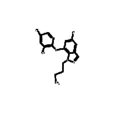 N#Cc1cc(Cl)cnc1Oc1cc(Cl)cc2cnn(CCCC(F)(F)F)c12